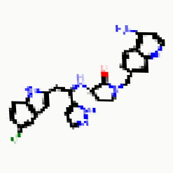 Nc1ccnc2cc(CN3CC[C@@H](NC(Cc4cc5cc(Cl)ccc5[nH]4)c4ccn[nH]4)C3=O)ccc12